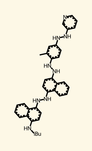 CCC(C)Nc1ccc(NNc2ccc(NNc3ccc(NNc4cccnc4)cc3C)c3ccccc23)c2ccccc12